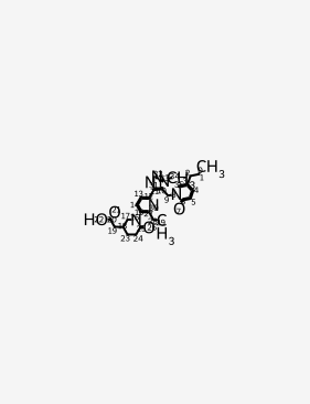 CCCc1ccc(=O)n(Cc2c(-c3ccc(N4CC(CC(=O)O)CCC4=O)c(CC)n3)nnn2C)c1